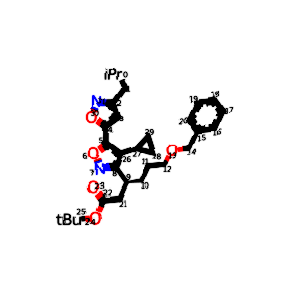 CC(C)Cc1cc(-c2onc([C@@H](CCCOCc3ccccc3)CC(=O)OC(C)(C)C)c2C2CC2)on1